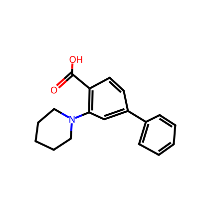 O=C(O)c1ccc(-c2ccccc2)cc1N1CCCCC1